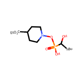 CCCCC(O)P(=O)(O)ON1CCC(C(=O)OCC)CC1